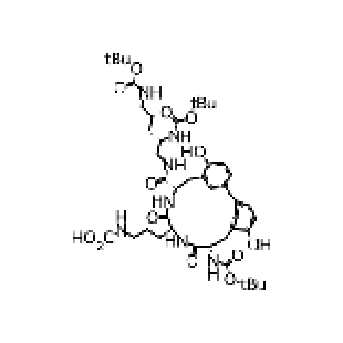 CC(C)(C)OC(=O)NCCC[C@@H](CNC(=O)[C@@H]1Cc2cc(ccc2O)-c2ccc(O)c(c2)C[C@H](NC(=O)OC(C)(C)C)C(=O)N[C@@H](CCCNC(=O)O)C(=O)N1)NC(=O)OC(C)(C)C